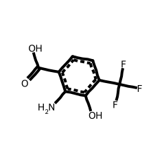 Nc1c(C(=O)O)ccc(C(F)(F)F)c1O